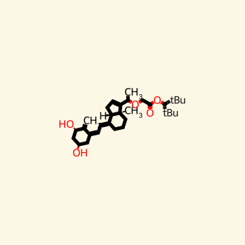 C=C1/C(=C\C=C2/CCC[C@]3(C)C(C(C)OCC(=O)OC(C(C)(C)C)C(C)(C)C)=CC[C@@H]23)C[C@@H](O)C[C@@H]1O